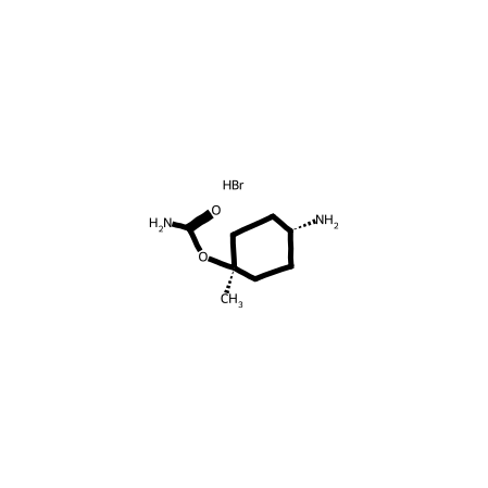 Br.C[C@]1(OC(N)=O)CC[C@H](N)CC1